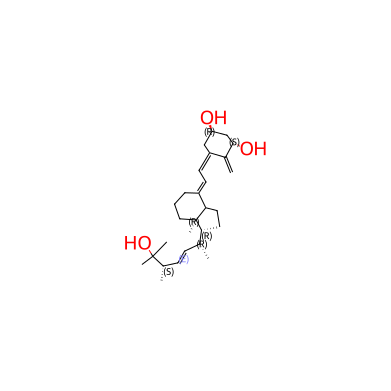 C=C1C(=CC=C2CCC[C@@]3(C)C2CC[C@@H]3[C@H](C)/C=C/[C@H](C)C(C)(C)O)C[C@@H](O)C[C@@H]1O